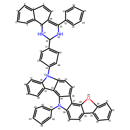 C1=Cc2ccccc2C2NC(c3ccc(-n4c5ccccc5c5c4ccc4c6c7oc8ccccc8c7ccc6n(-c6ccccc6)c45)cc3)NC(c3ccccc3)=C12